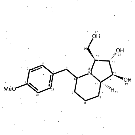 COc1ccc(CC2CCC[C@@H]3[C@H](O)[C@@H](O)[C@H](CO)N23)cc1